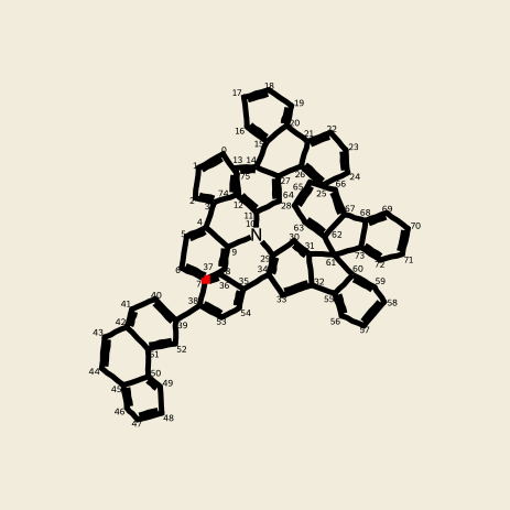 c1ccc(-c2ccccc2N(c2ccc3c4ccccc4c4ccccc4c3c2)c2cc3c(cc2-c2ccc(-c4ccc5ccc6ccccc6c5c4)cc2)-c2ccccc2C32c3ccccc3-c3ccccc32)cc1